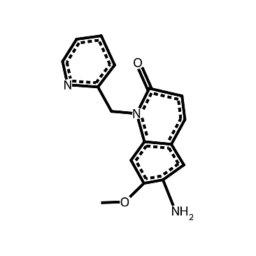 COc1cc2c(ccc(=O)n2Cc2ccccn2)cc1N